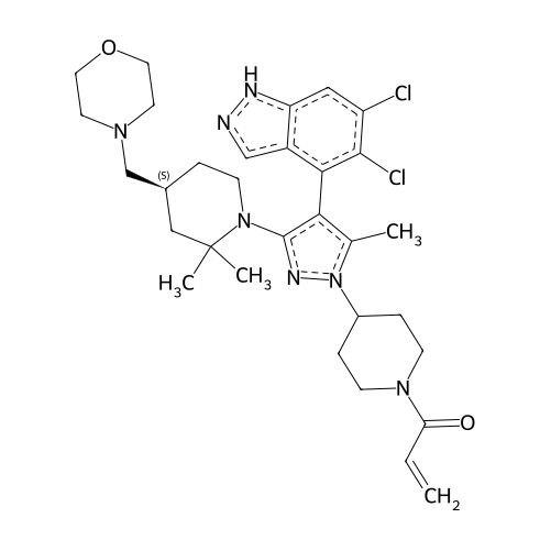 C=CC(=O)N1CCC(n2nc(N3CC[C@H](CN4CCOCC4)CC3(C)C)c(-c3c(Cl)c(Cl)cc4[nH]ncc34)c2C)CC1